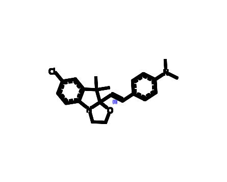 CN(C)c1ccc(/C=C/C23OCCN2c2ccc(Cl)cc2C3(C)C)cc1